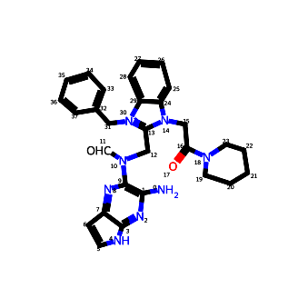 Nc1nc2[nH]ccc2nc1N(C=O)Cc1n(CC(=O)N2CCCCC2)c2ccccc2[n+]1Cc1ccccc1